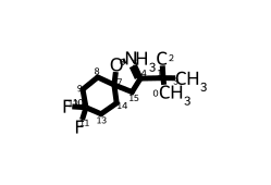 CC(C)(C)C1=NOC2(CCC(F)(F)CC2)C1